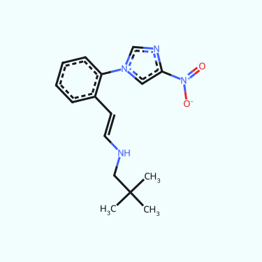 CC(C)(C)CNC=Cc1ccccc1-n1cnc([N+](=O)[O-])c1